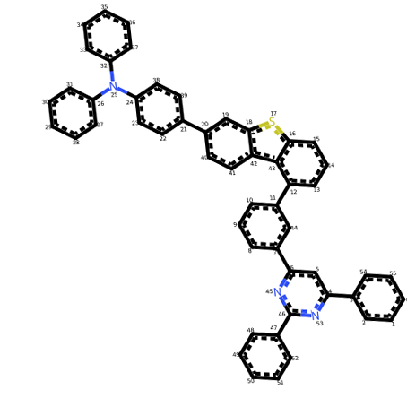 c1ccc(-c2cc(-c3cccc(-c4cccc5sc6cc(-c7ccc(N(c8ccccc8)c8ccccc8)cc7)ccc6c45)c3)nc(-c3ccccc3)n2)cc1